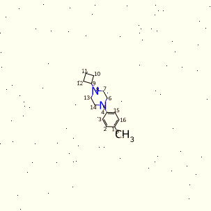 Cc1ccc(N2CCN(C3CCC3)CC2)cc1